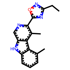 CCc1noc(-c2ncc3[nH]c4cccc(C)c4c3c2C)n1